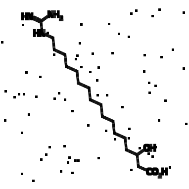 N=C(N)NCCCCCCCCCCCCCCC(O)CC(=O)O